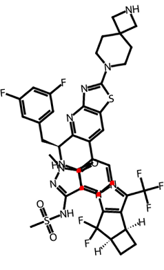 Cn1nc(NS(C)(=O)=O)c2cccc(-c3cc4sc(N5CCC6(CC5)CNC6)nc4nc3[C@H](Cc3cc(F)cc(F)c3)NC(=O)Cn3nc(C(F)(F)F)c4c3C(F)(F)[C@@H]3CC[C@H]43)c21